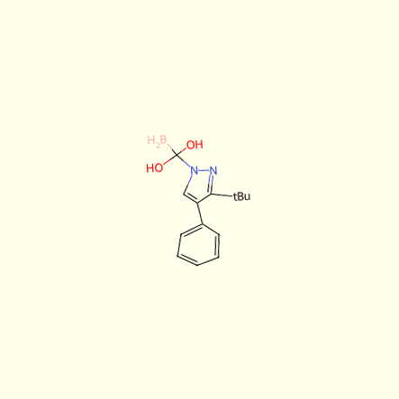 BC(O)(O)n1cc(-c2ccccc2)c(C(C)(C)C)n1